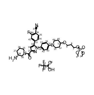 COP(=O)(OC)OCCCOC1CCN(c2ccc(-n3nc(C(=O)N4CCC[C@@H](N)C4)cc3-c3ccc(C#N)c(F)c3)cc2)CC1.O=C(O)C(F)(F)F